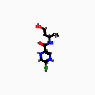 CC(C=CO)NC(=O)c1cnc(Cl)cn1